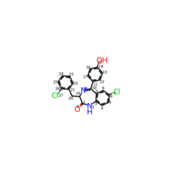 O=C1Nc2ccc(Cl)cc2C(c2ccc(O)cc2)=NC1Cc1ccccc1Cl